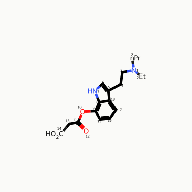 CCCN(CC)CCc1c[nH]c2c(OC(=O)CC(=O)O)cccc12